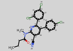 CCCC(=O)N(C)c1nc(-c2ccc(Cl)cc2Cl)c(-c2ccc(Cl)cc2)cc1C#N